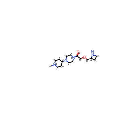 CN1CCC(N2CCN(C(=O)COC[C@@H]3CCN3)CC2)CC1